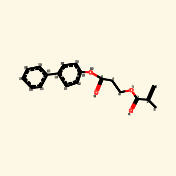 C=C(C)C(=O)OCCC(=O)Oc1ccc(-c2ccccc2)cc1